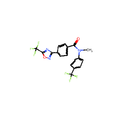 CN(C(=O)c1ccc(-c2noc(C(F)(F)F)n2)cc1)c1ccc(C(F)(F)F)cc1